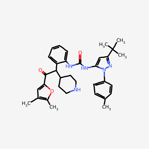 Cc1ccc(-n2nc(C(C)(C)C)cc2NC(=O)Nc2ccccc2C(C(=O)c2cc(C)c(C)o2)C2CCNCC2)cc1